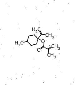 C=C(C)C(=O)OC1(C(=C)C)CCC(C)CC1